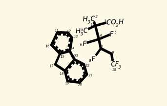 CC(C)(C(=O)O)C(F)(F)C(F)CC(F)(F)F.c1ccc2c(c1)Cc1ccccc1-2